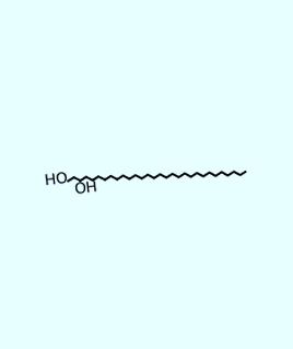 CCCCCCCCCCCCCCCCCCCCCCCCCCCC(O)CCO